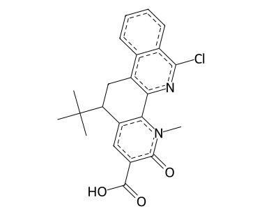 Cn1c2c(cc(C(=O)O)c1=O)C(C(C)(C)C)Cc1c-2nc(Cl)c2ccccc12